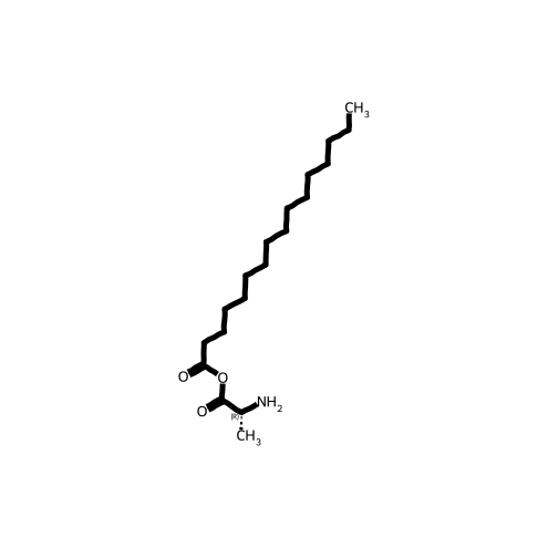 CCCCCCCCCCCCCCCC(=O)OC(=O)[C@@H](C)N